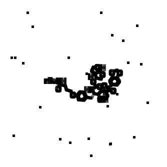 CCCCNC(=O)CCCOc1ccc(C[C@H](NC(=O)O[C@H]2CO[C@H]3OCC[C@H]32)[C@H](O)CN(CC(C)C)S(=O)(=O)c2ccc3c(c2)OCO3)cc1